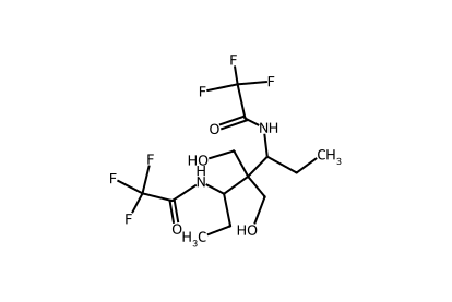 CCC(NC(=O)C(F)(F)F)C(CO)(CO)C(CC)NC(=O)C(F)(F)F